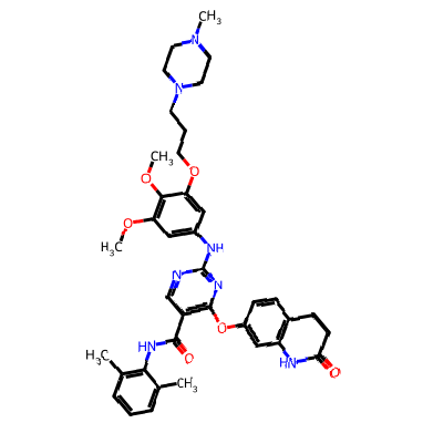 COc1cc(Nc2ncc(C(=O)Nc3c(C)cccc3C)c(Oc3ccc4c(c3)NC(=O)CC4)n2)cc(OCCCN2CCN(C)CC2)c1OC